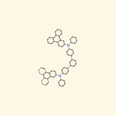 C1=Cc2c(c3c(c4cc(N(c5ccccc5)c5ccc(-c6cccc(-c7ccc(N(c8ccccc8)c8ccc9c%10ccccc%10c%10ccccc%10c9c8)cc7)c6)cc5)ccc24)C=CCC3)CC1